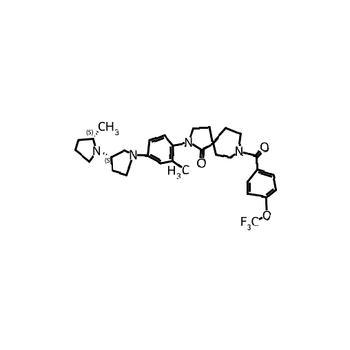 Cc1cc(N2CC[C@H](N3CCC[C@@H]3C)C2)ccc1N1CCC2(CCN(C(=O)c3ccc(OC(F)(F)F)cc3)CC2)C1=O